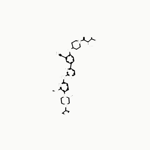 COc1nc(Nc2nccc(-c3ccc(OC4CCN(C(=O)[C@H](O)C(F)F)CC4)c(C#N)c3)n2)ccc1N1CCN(C2COC2)C[C@@H]1C